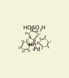 O=S(=O)(O)O.[Pd][PH](c1ccccc1)(c1ccccc1)c1ccccc1